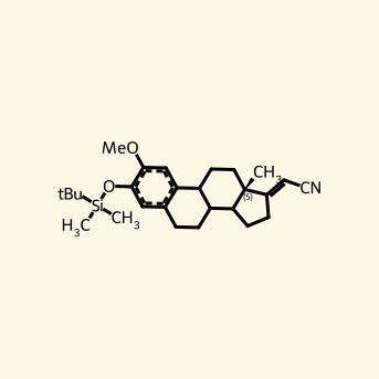 COc1cc2c(cc1O[Si](C)(C)C(C)(C)C)CCC1C2CC[C@]2(C)C(=CC#N)CCC12